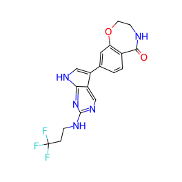 O=C1NCCOc2cc(-c3c[nH]c4nc(NCCC(F)(F)F)ncc34)ccc21